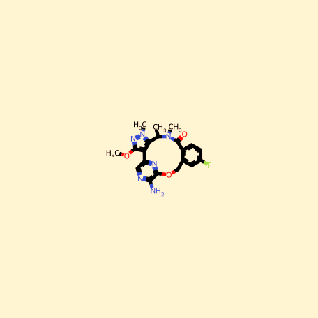 COc1nn(C)c2c1-c1cnc(N)c(n1)OCc1cc(F)ccc1C(=O)N(C)C2C